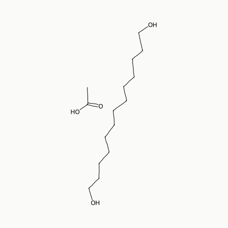 CC(=O)O.OCCCCCCCCCCCCCO